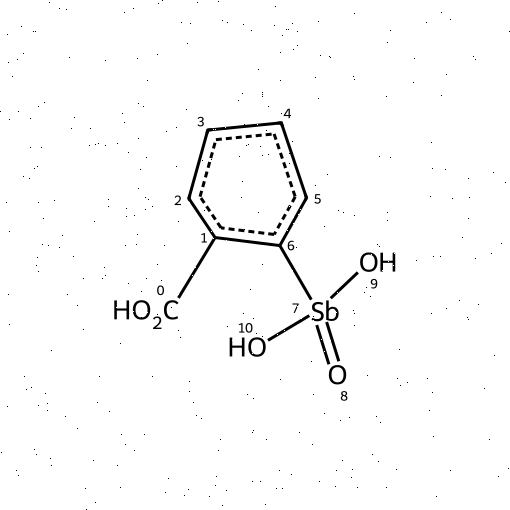 O=C(O)c1cccc[c]1[Sb](=[O])([OH])[OH]